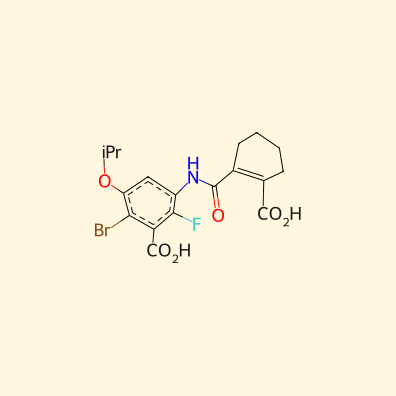 CC(C)Oc1cc(NC(=O)C2=C(C(=O)O)CCCC2)c(F)c(C(=O)O)c1Br